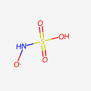 [O]NS(=O)(=O)O